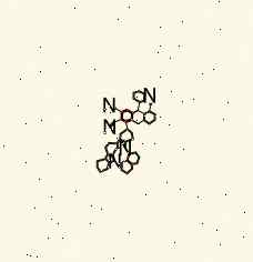 N#Cc1ccc2c(c1)C1c3cccc(C#N)c3C2(c2ccccc2)c2cc(C#N)cc(-c3ccc4c(c3)c3ccc5c6ccccc6n(-c6ccccc6)c5c3n4-c3ccccc3)c21